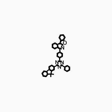 CC1(C)c2ccccc2-c2ccc(-c3nc(-c4ccccc4)nc(-c4ccc(-c5nc6oc7ccccc7c6c6ccccc56)cc4)n3)cc21